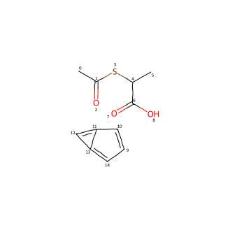 CC(=O)SC(C)C(=O)O.c1cc2cc-2c1